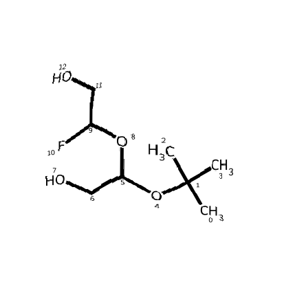 CC(C)(C)OC(CO)OC(F)CO